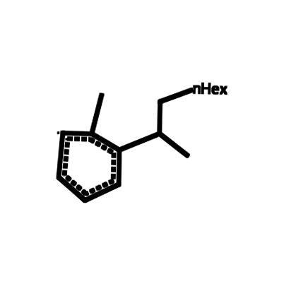 CCCCCCCC(C)c1ccc[c]c1C